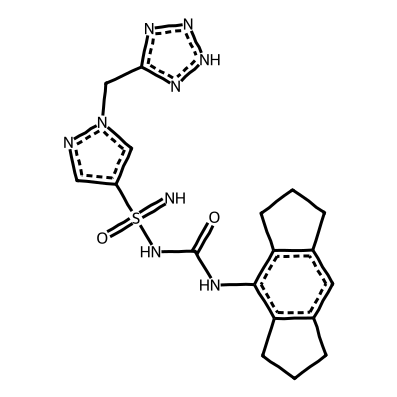 N=S(=O)(NC(=O)Nc1c2c(cc3c1CCC3)CCC2)c1cnn(Cc2nn[nH]n2)c1